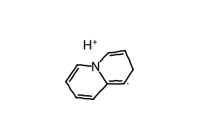 [C]1=C2C=CC=CN2C=CC1.[H+]